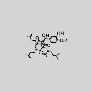 C=C(C)CC[C@@H]1C[C@]2(CCC(=C)C)C(=O)C(=C(O)c3ccc(O)c(O)c3)C(=O)[C@@](C[C@H](CC=C(C)C)C(=C)C)(C2=O)C1(C)C